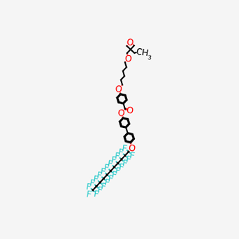 CCC1(COCCCCCCOc2ccc(C(=O)Oc3ccc(-c4ccc(OC(F)(F)C(F)(F)C(F)(F)C(F)(F)C(F)(F)C(F)(F)C(F)(F)C(F)(F)C(F)(F)C(F)(F)C(F)(F)F)cc4)cc3)cc2)COC1